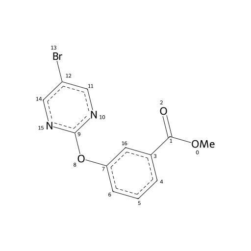 COC(=O)c1cccc(Oc2ncc(Br)cn2)c1